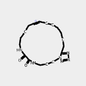 O=C1NCCCC/C=C\CCCCCCc2nnnn2CCCNC1=O